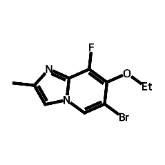 CCOc1c(Br)cn2cc(C)nc2c1F